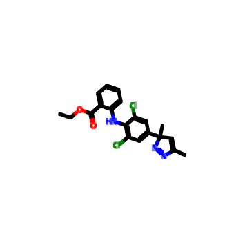 CCOC(=O)c1ccccc1Nc1c(Cl)cc(C2(C)C=C(C)N=N2)cc1Cl